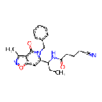 CCC(NC(=O)CCCC#N)c1cc2onc(C)c2c(=O)n1Cc1ccccc1